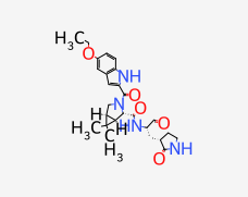 CCOc1ccc2[nH]c(C(=O)N3C[C@H]4[C@@H]([C@H]3C(=O)N[C@H](C=O)C[C@@H]3CCNC3=O)C4(C)C)cc2c1